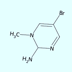 CN1C=C(Br)C=NC1N